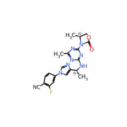 Cc1nc(N[C@@H](C)c2cn(-c3ccc(C#N)c(F)c3)cn2)nc(N2C(=O)OC[C@@H]2C)n1